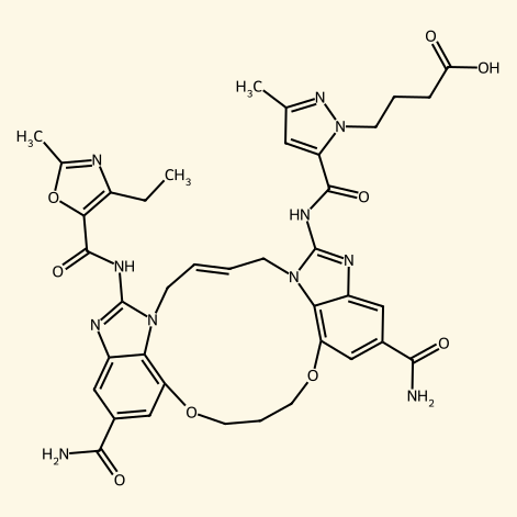 CCc1nc(C)oc1C(=O)Nc1nc2cc(C(N)=O)cc3c2n1C/C=C/Cn1c(NC(=O)c2cc(C)nn2CCCC(=O)O)nc2cc(C(N)=O)cc(c21)OCCCO3